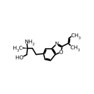 CC=C(C)c1nc2cc(CC[C@@](C)(N)CO)ccc2o1